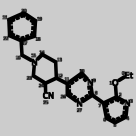 CCOc1ncccc1-c1ncc(C2CCN(Cc3ccccc3)CC2C#N)cn1